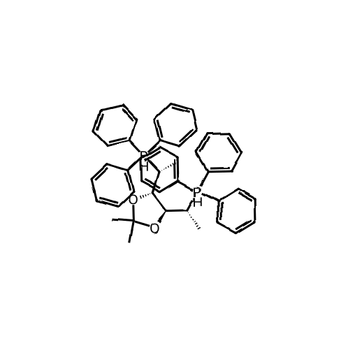 C[C@H]([C@H]1OC(C)(C)O[C@@H]1[C@@H](C)[PH](c1ccccc1)(c1ccccc1)c1ccccc1)[PH](c1ccccc1)(c1ccccc1)c1ccccc1